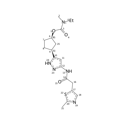 CCN(C)C(=O)O[C@@H]1CC[C@H](c2cc(NC(=O)Cc3cnc(C)s3)n[nH]2)C1